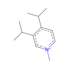 CC(C)c1cc[n+](C)cc1C(C)C